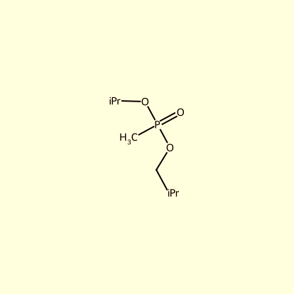 CC(C)COP(C)(=O)OC(C)C